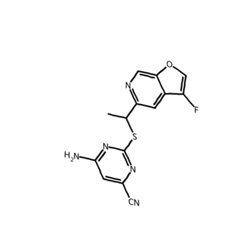 CC(Sc1nc(N)cc(C#N)n1)c1cc2c(F)coc2cn1